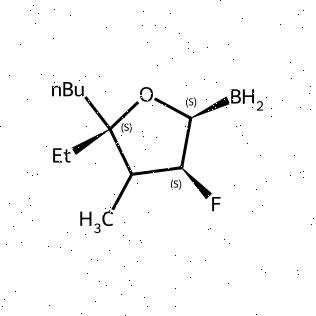 B[C@@H]1O[C@@](CC)(CCCC)C(C)[C@@H]1F